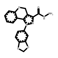 NNC(=O)c1nn(-c2ccc3c(c2)OCO3)c2c1COc1ccccc1-2